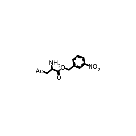 CC(=O)CC(N)C(=O)OCc1cccc([N+](=O)[O-])c1